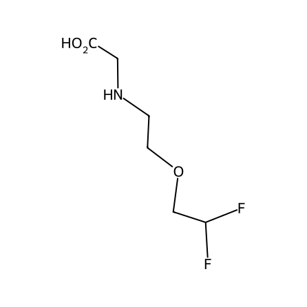 O=C(O)CNCCOCC(F)F